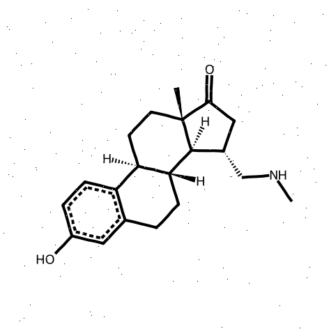 CNC[C@H]1CC(=O)[C@@]2(C)CC[C@@H]3c4ccc(O)cc4CC[C@H]3[C@H]12